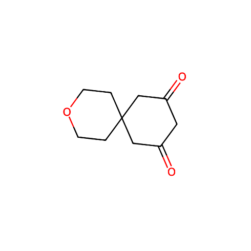 O=C1CC(=O)CC2(CCOCC2)C1